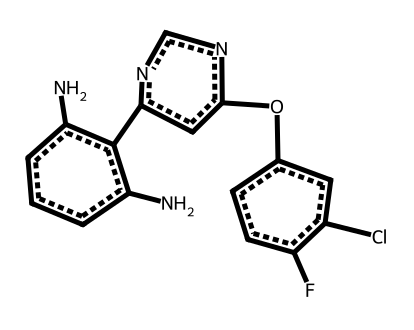 Nc1cccc(N)c1-c1cc(Oc2ccc(F)c(Cl)c2)ncn1